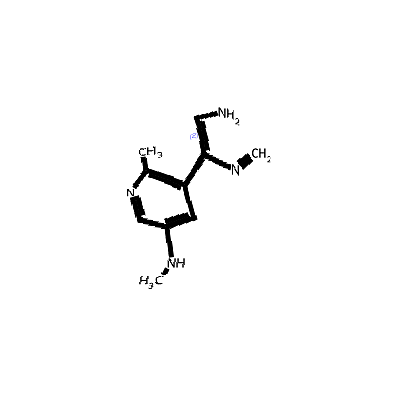 C=N/C(=C\N)c1cc(NC)cnc1C